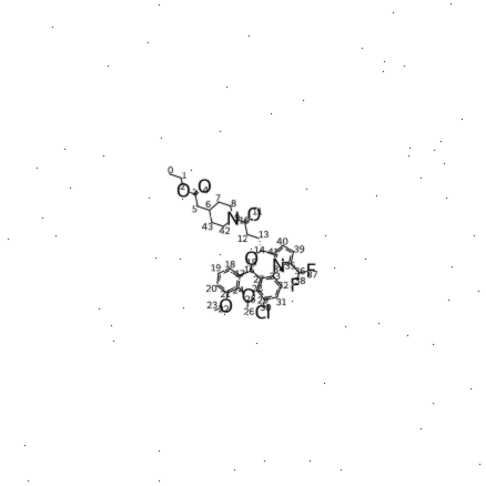 CCOC(=O)CC1CCN(C(=O)CC[C@H]2O[C@H](c3cccc(OC)c3OC)c3cc(Cl)ccc3-n3c(C(F)F)ccc32)CC1